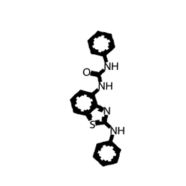 O=C(Nc1ccccc1)Nc1cccc2sc(Nc3ccccc3)nc12